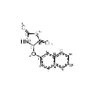 O=C1NC(Oc2ccc3ccccc3c2)C(=O)S1